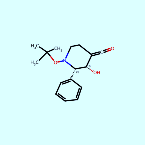 CC(C)(C)ON1CCC(=C=O)[C@H](O)[C@@H]1c1ccccc1